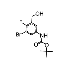 CC(C)(C)OC(=O)Nc1cc(Br)c(F)c(CO)c1